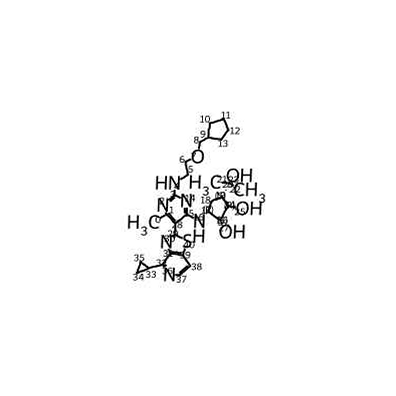 Cc1nc(NCCOCC2CCCC2)nc(N[C@@H]2C[C@H](C(C)(C)O)[C@@H](O)[C@H]2O)c1-c1nc2c(C3CC3)nccc2s1